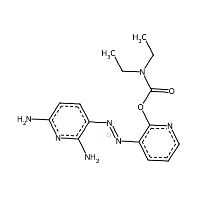 CCN(CC)C(=O)Oc1ncccc1/N=N/c1ccc(N)nc1N